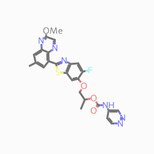 COc1cnc2c(-c3nc4cc(F)c(OCC(C)OC(=O)Nc5ccnnc5)cc4s3)cc(C)cc2n1